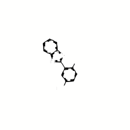 O=Cc1ccc(O)cc1-c1nc2ccccc2[nH]1